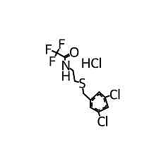 Cl.O=C(NCCSCc1cc(Cl)cc(Cl)c1)C(F)(F)F